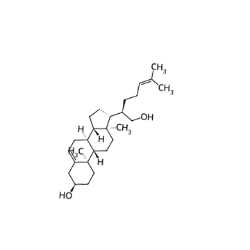 CC(C)=CCC[C@@H](CO)[C@H]1CC[C@H]2[C@@H]3CC=C4C[C@H](O)CC[C@]4(C)[C@H]3CC[C@]12C